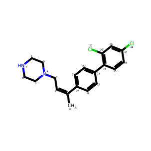 CC(=CCN1CCNCC1)c1ccc(-c2ccc(Cl)cc2Cl)cc1